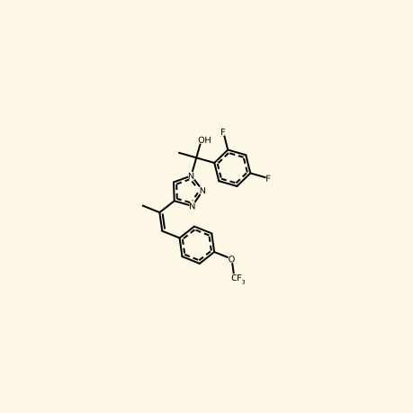 CC(=Cc1ccc(OC(F)(F)F)cc1)c1cn(C(C)(O)c2ccc(F)cc2F)nn1